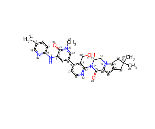 Cc1ccc(Nc2cc(-c3ccnc(N4CCn5c(cc6c5CC(C)(C)C6)C4=O)c3CO)cn(C)c2=O)nc1